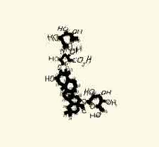 CC1OC(OC2C(O)C(OC3C(O)CC4(C)C(CCC5(C)C4CC=C4C6CC(C)(C)CCC6(C(=O)OC6OC(CO)C(O)C(O)C6O)CCC45C)C3(C)C)OC(C(=O)O)C2O)C(O)C(O)C1O